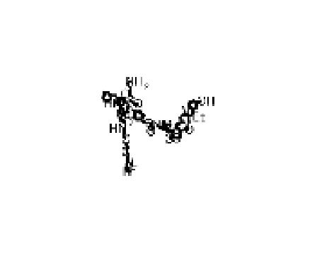 CCc1c2c(nc3ccc(O)cc13)Cc1cc3c(c(=O)n1C2)COC(=O)[C@@]3(CC)CC(=O)CNC(=O)OCc1ccc(NC(=O)[C@H](CCCCN)NC(=O)[C@H](Cc2ccccc2)NC(=O)COCC(=O)NCCOCCOCCN=[N+]=[N-])cc1